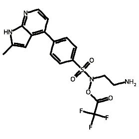 Cc1cc2c(-c3ccc(S(=O)(=O)N(CCN)OC(=O)C(F)(F)F)cc3)ccnc2[nH]1